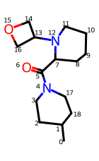 CC1CCN(C(=O)C2CCCCN2C2COC2)CC1